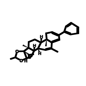 CC(=O)[C@@]12OC(C)O[C@H]1C[C@H]1[C@@H]3C=C(C)C4=CC(c5ccccc5)=CC[C@]4(C)[C@H]3CC[C@@]12C